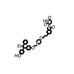 CCC(=C(c1ccc(O)cc1)c1ccc(OCCN2CCC(OCCCc3ccc4c(c3)CN(C3CCC(=O)NC3=O)C4=O)CC2)cc1)c1ccccc1